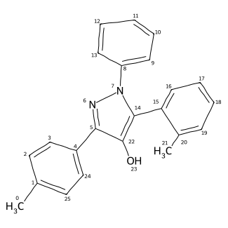 Cc1ccc(-c2nn(-c3ccccc3)c(-c3ccccc3C)c2O)cc1